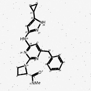 CNC(=O)[C@@H]1CCN1c1nc(Cc2ccccc2)cc(Nc2cc(C3CC3)[nH]n2)n1